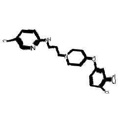 Clc1ccc(NCCCN2CCC(Oc3ccc(Cl)c(Cl)c3)CC2)nc1